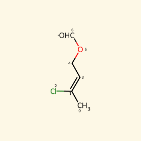 CC(Cl)=CCO[C]=O